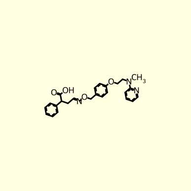 CN(CCOc1ccc(CON=CCC(C(=O)O)c2ccccc2)cc1)c1ccccn1